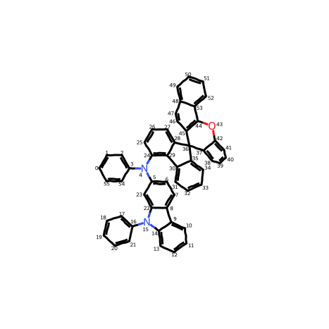 c1ccc(N(c2ccc3c4ccccc4n(-c4ccccc4)c3c2)c2cccc3c2-c2ccccc2C32c3ccccc3Oc3c2ccc2ccccc32)cc1